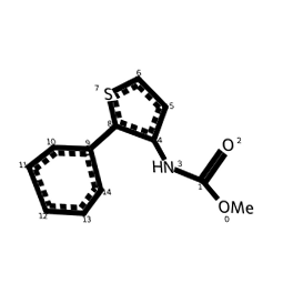 COC(=O)Nc1ccsc1-c1ccccc1